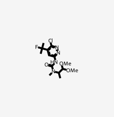 COC(OC)C(C)N(C)C(=O)Nc1cc(C(C)(C)F)c(Cl)nn1